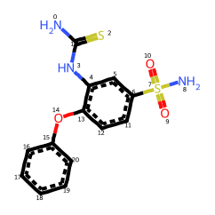 NC(=S)Nc1cc(S(N)(=O)=O)ccc1Oc1ccccc1